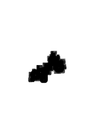 Cc1ccc(F)c(C(=O)N2CC3(CC(c4cc(C)nn4-c4ccccc4C)C3)C2)c1